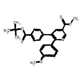 COC(=O)c1cnc(-c2ccc(OC)cc2)c(-c2ccc(C(=O)OC(C)(C)C)cc2)c1